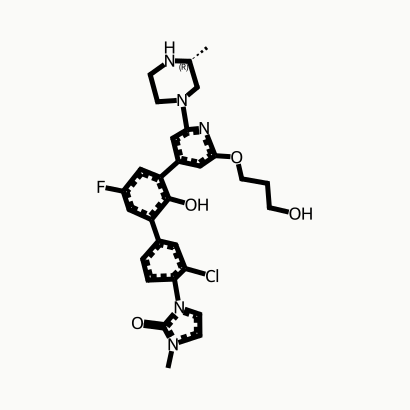 C[C@@H]1CN(c2cc(-c3cc(F)cc(-c4ccc(-n5ccn(C)c5=O)c(Cl)c4)c3O)cc(OCCCO)n2)CCN1